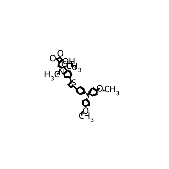 CCOc1ccc(N(c2ccc(OCC)cc2)c2ccc(-c3ccc(-c4ccc5c(c4)N(C)/C(=C/c4c(O)c(=O)c4=O)C5(C)C)s3)cc2)cc1